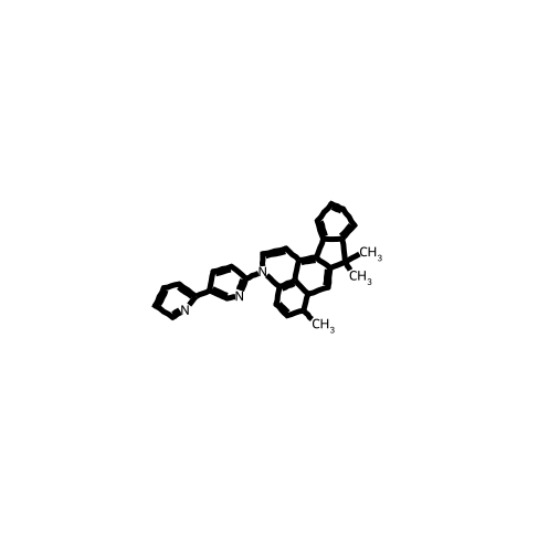 CC1C=CC2=C3C(=C4C(=CC31)C(C)(C)c1ccccc14)C=CN2c1ccc(-c2ccccn2)cn1